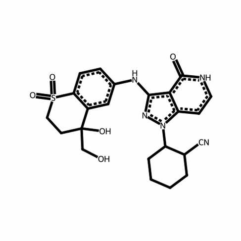 N#CC1CCCCC1n1nc(Nc2ccc3c(c2)C(O)(CO)CCS3(=O)=O)c2c(=O)[nH]ccc21